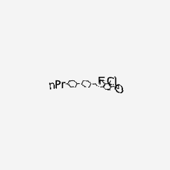 CCCC1CCC(C2CCC(CCc3ccc(C4CO4)c(Cl)c3F)CC2)CC1